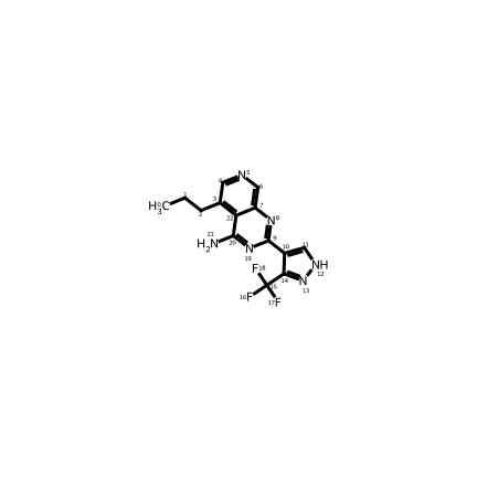 CCCc1cncc2nc(-c3c[nH]nc3C(F)(F)F)nc(N)c12